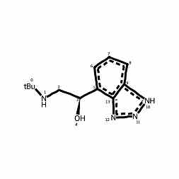 CC(C)(C)NC[C@H](O)c1cccc2[nH]nnc12